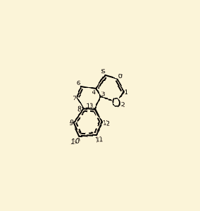 C1=COC2C(=C1)C=Cc1ccccc12